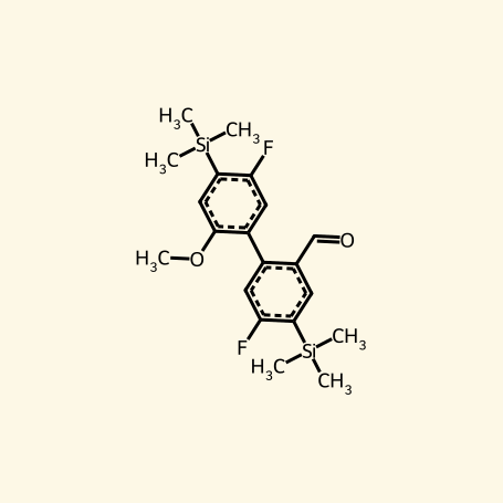 COc1cc([Si](C)(C)C)c(F)cc1-c1cc(F)c([Si](C)(C)C)cc1C=O